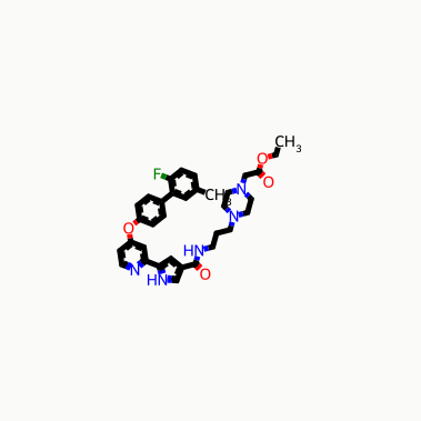 CCOC(=O)CN1CCN(CCCNC(=O)c2c[nH]c(-c3cc(Oc4ccc(-c5cc(C)ccc5F)cc4)ccn3)c2)CC1